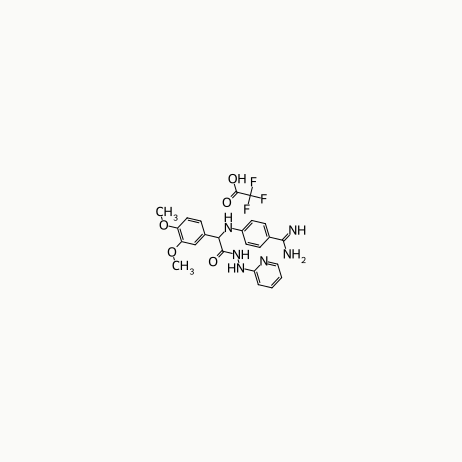 COc1ccc(C(Nc2ccc(C(=N)N)cc2)C(=O)NNc2ccccn2)cc1OC.O=C(O)C(F)(F)F